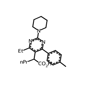 CCCC(C(=O)O)c1c(CC)nc(N2CCCCC2)nc1-c1ccc(C)cc1